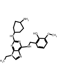 CCn1cnc2c(NCc3cccc(OC)c3O)nc(NC3CCC(N)CC3)nc21